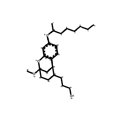 CCCCCCC(C)Oc1ccc2c(c1)OC1(OC)CCC(CCCO)C2C1